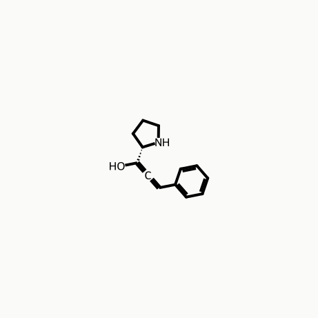 OC(=C=Cc1ccccc1)[C@@H]1CCCN1